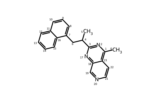 Cc1nc(C(C)Cc2cccc3ccccc23)nc2cnccc12